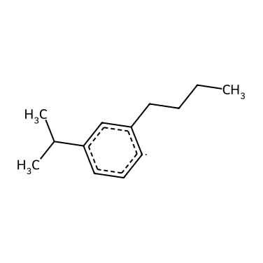 CCCCc1[c]ccc(C(C)C)c1